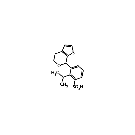 CN(C)c1c(C2OCCc3ccsc32)cccc1S(=O)(=O)O